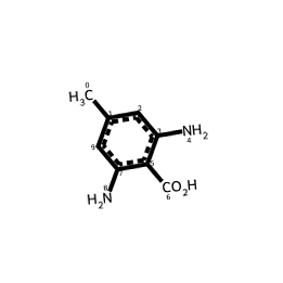 Cc1cc(N)c(C(=O)O)c(N)c1